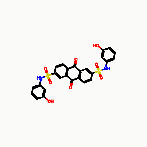 O=C1c2ccc(S(=O)(=O)Nc3cccc(O)c3)cc2C(=O)c2ccc(S(=O)(=O)Nc3cccc(O)c3)cc21